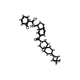 O=C(NC1CCc2ccc(C(=O)N3CCC4(CCC(N5CC(F)(F)C5)CC4)CC3)cc21)c1ccccc1Cl